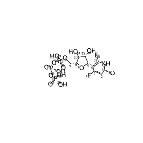 O=c1cc(F)c([C@@H]2O[C@H](COP(=O)(O)OP(=O)(O)OP(=O)(O)O)C(O)[C@@H]2O)c(F)[nH]1